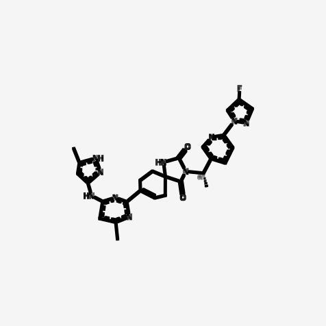 Cc1cc(Nc2cc(C)[nH]n2)nc(C2=CCC3(CC2)NC(=O)N([C@@H](C)c2ccc(-n4cc(F)cn4)nc2)C3=O)n1